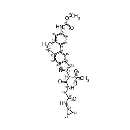 COC(=O)Nc1ccc(-c2cc3sc(C(C(=O)NCC(=O)NC4CC4)S(C)(=O)=O)nc3cc2F)c(C)c1